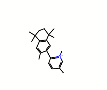 Cc1ccc(-c2cc3c(cc2C)C(C)(C)CCC3(C)C)[n+](C)c1